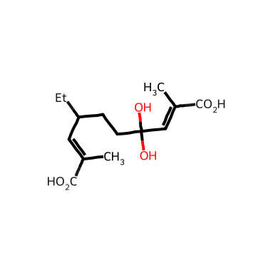 CCC(C=C(C)C(=O)O)CCC(O)(O)C=C(C)C(=O)O